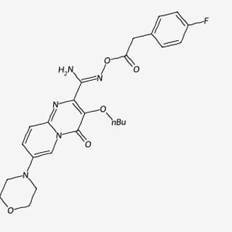 CCCCOc1c(/C(N)=N/OC(=O)Cc2ccc(F)cc2)nc2ccc(N3CCOCC3)cn2c1=O